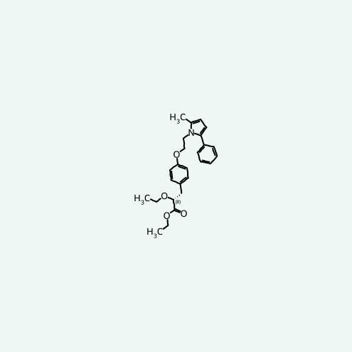 CCOC(=O)[C@@H](Cc1ccc(OCCn2c(C)ccc2-c2ccccc2)cc1)OCC